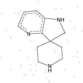 c1cnc2c(c1)NCC21CCNCC1